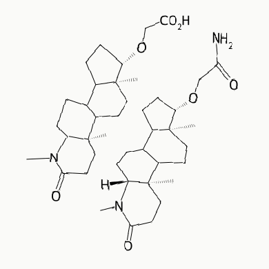 CN1C(=O)CC[C@]2(C)C3CC[C@@]4(C)C(CC[C@@H]4OCC(=O)O)C3CCC12.CN1C(=O)CC[C@]2(C)C3CC[C@@]4(C)C(CC[C@@H]4OCC(N)=O)C3CC[C@@H]12